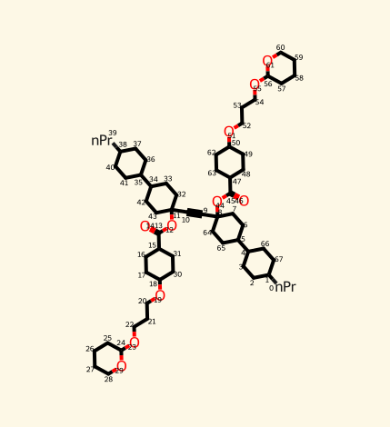 CCCC1CCC(C2CCC(C#CC3(OC(=O)C4CCC(OCCCOC5CCCCO5)CC4)CCC(C4CCC(CCC)CC4)CC3)(OC(=O)C3CCC(OCCCOC4CCCCO4)CC3)CC2)CC1